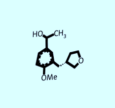 COc1ccc(C(C)O)cc1C[C@@H]1CCOC1